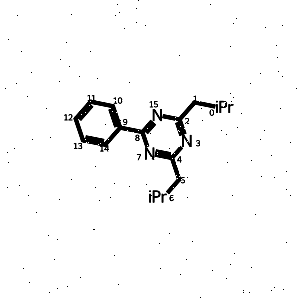 CC(C)Cc1nc(CC(C)C)nc(-c2ccccc2)n1